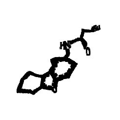 CC(C)(C)CC(=O)Nc1ccc2oc3c(c2c1)CCCC3